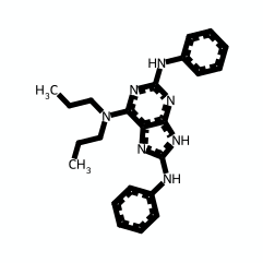 CCCN(CCC)c1nc(Nc2ccccc2)nc2[nH]c(Nc3ccccc3)nc12